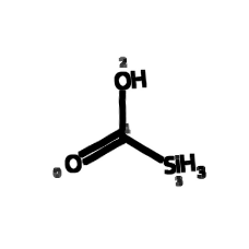 O=C(O)[SiH3]